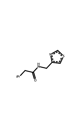 CC(C)CC(=O)NCc1cscn1